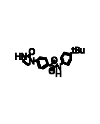 CC(C)(C)c1ccc(NS(=O)(=O)c2ccc(N3CCNC3=O)cc2)cc1